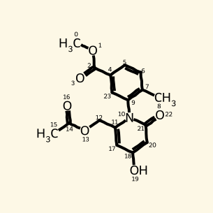 COC(=O)c1ccc(C)c(-n2c(COC(C)=O)cc(O)cc2=O)c1